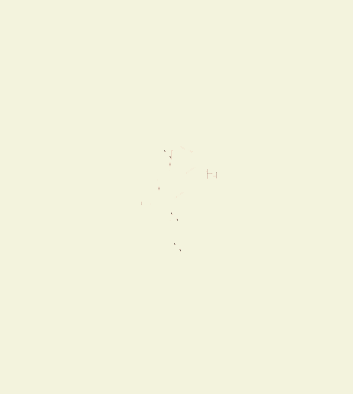 COc1cc2nc(C)cc(Br)c2cc1N1CCN(C)CC1